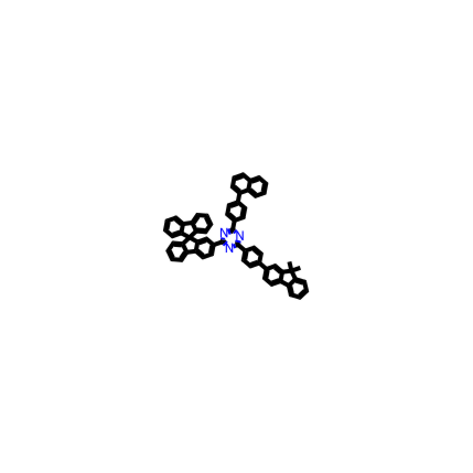 CC1(C)c2ccccc2-c2ccc(-c3ccc(-c4nc(-c5ccc(-c6cccc7ccccc67)cc5)nc(-c5ccc6c(c5)C5(c7ccccc7-c7ccccc75)c5ccccc5-6)n4)cc3)cc21